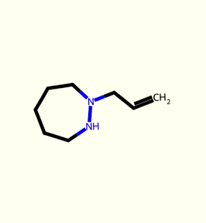 C=CCN1CCCCCN1